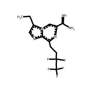 CCc1cnc2c(CCC(F)(F)C(F)(F)F)nc(C(=N)N)cn12